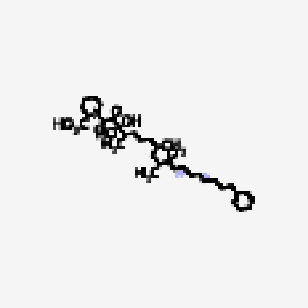 CC(CCCC(C)C(O)(O)C(=O)C(=O)N1CCCCC1C(=O)O)CC(C)C(=O)/C=C/C/C=C/CCCc1ccccc1